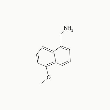 COc1cccc2c(CN)cccc12